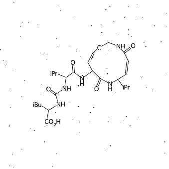 CCC(C)C(NC(=O)NC(C(=O)NC1/C=C\CCNC(=O)/C=C\C(C(C)C)NC1=O)C(C)C)C(=O)O